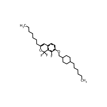 CCCCCCCC1=Cc2ccc(OCC3CCC(CCCCCC)CC3)c(F)c2C(F)(F)O1